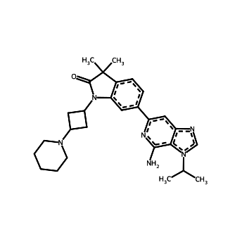 CC(C)n1cnc2cc(-c3ccc4c(c3)N(C3CC(N5CCCCC5)C3)C(=O)C4(C)C)nc(N)c21